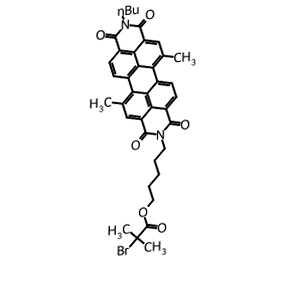 CCCCN1C(=O)c2ccc3c4c(C)cc5c6c(ccc(c7c(C)cc(c2c37)C1=O)c64)C(=O)N(CCCCCOC(=O)C(C)(C)Br)C5=O